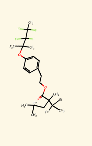 CCC(C)(C)CC(C)(C(=O)OCCc1ccc(OC(C(F)(F)F)(C(F)(F)F)C(F)(F)C(F)(F)C(F)(F)F)cc1)C(C)(CC)CC